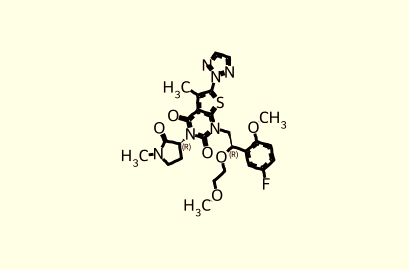 COCCO[C@@H](Cn1c(=O)n([C@@H]2CCN(C)C2=O)c(=O)c2c(C)c(-n3nccn3)sc21)c1cc(F)ccc1OC